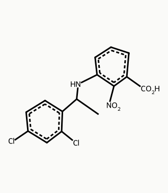 CC(Nc1cccc(C(=O)O)c1[N+](=O)[O-])c1ccc(Cl)cc1Cl